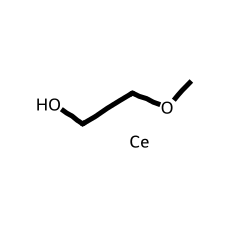 COCCO.[Ce]